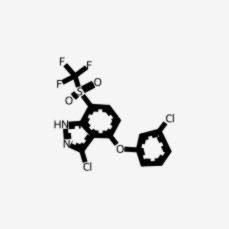 O=S(=O)(c1ccc(Oc2cccc(Cl)c2)c2c(Cl)n[nH]c12)C(F)(F)F